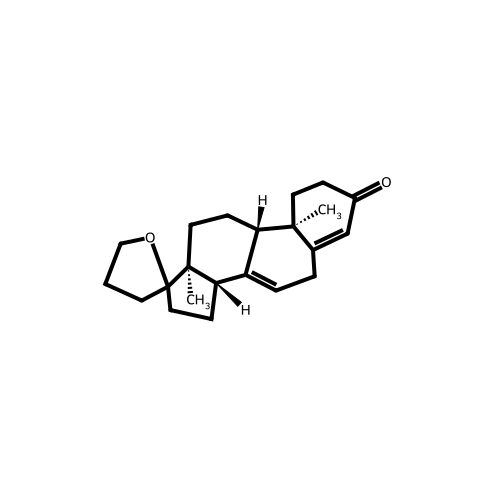 C[C@]12CCC(=O)C=C1CC=C1[C@@H]2CC[C@@]2(C)[C@H]1CCC21CCCO1